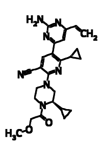 C=Cc1cc(-c2cc(C#N)c(N3CCN(C(=O)COC)[C@H](C4CC4)C3)nc2C2CC2)nc(N)n1